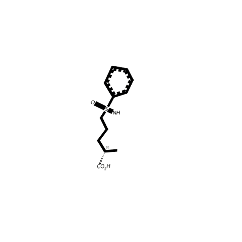 C[C@@H](CCCS(=N)(=O)c1ccccc1)C(=O)O